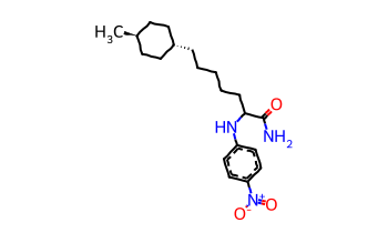 C[C@H]1CC[C@H](CCCCCC(Nc2ccc([N+](=O)[O-])cc2)C(N)=O)CC1